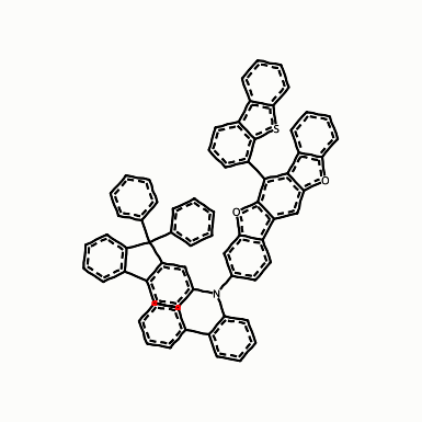 c1ccc(-c2ccccc2N(c2ccc3c(c2)C(c2ccccc2)(c2ccccc2)c2ccccc2-3)c2ccc3c(c2)oc2c(-c4cccc5c4sc4ccccc45)c4c(cc23)oc2ccccc24)cc1